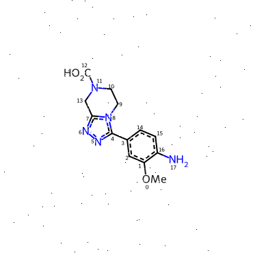 COc1cc(-c2nnc3n2CCN(C(=O)O)C3)ccc1N